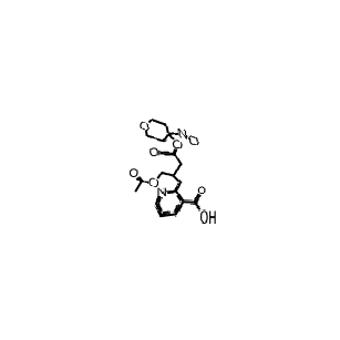 CC(=O)OCC(CC(=O)OC1(N=O)CCOCC1)Cc1ncccc1C(=O)O